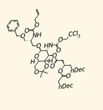 C=CCOC(=O)N[C@@H](COCc1ccccc1)CO[C@@H]1O[C@@H]2COC(C)(C)O[C@H]2[C@H](OC(=O)C[C@@H](CCCCCCCCCCC)OC(=O)CCCCCCCCCCC)[C@H]1NC(=O)OCC(Cl)(Cl)Cl